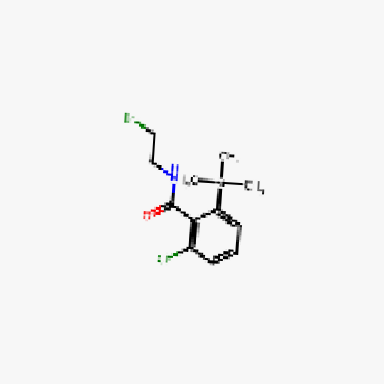 C[Si](C)(C)c1cccc(Cl)c1C(=O)NCCBr